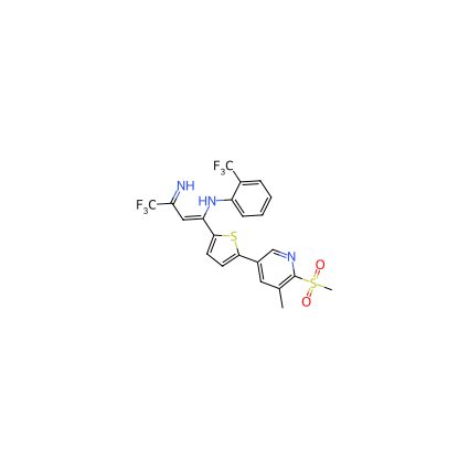 Cc1cc(-c2ccc(/C(=C/C(=N)C(F)(F)F)Nc3ccccc3C(F)(F)F)s2)cnc1S(C)(=O)=O